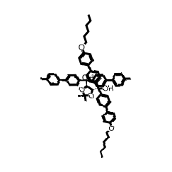 CCCCCCOc1ccc(-c2ccc(C(O)(c3ccc(-c4ccc(OCCCCCC)cc4)cc3)[C@@H]3OC(C)(C)O[C@H]3C(O)(c3ccc(-c4ccc(C)cc4)cc3)c3ccc(-c4ccc(C)cc4)cc3)cc2)cc1